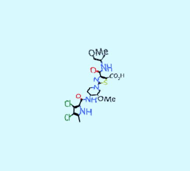 COC[C@@H](C)NC(=O)c1nc(N2CC[C@@H](NC(=O)c3[nH]c(C)c(Cl)c3Cl)[C@@H](OC)C2)sc1C(=O)O